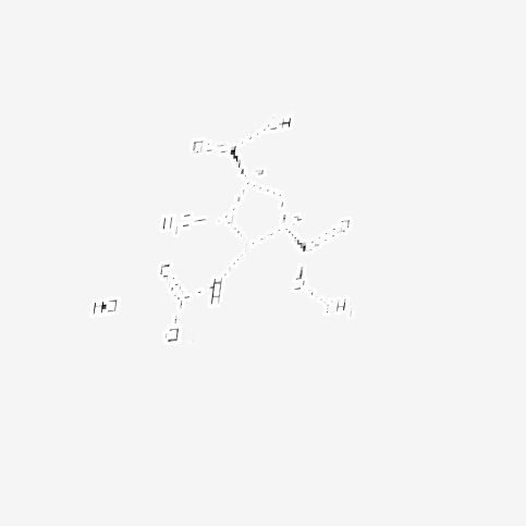 COC(=O)[C@@H]1C[C@H](C(=O)O)N(C)C1NC(C)=O.Cl